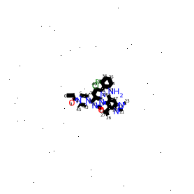 C=CC(=O)N1C[C@H](C)N(c2nc(=O)n(-c3c(C)cc4c(ncn4C)c3C(C)C)c3nc(-c4c(N)cccc4F)c(Cl)cc23)C[C@H]1C